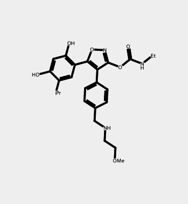 CCNC(=O)Oc1noc(-c2cc(C(C)C)c(O)cc2O)c1-c1ccc(CNCCOC)cc1